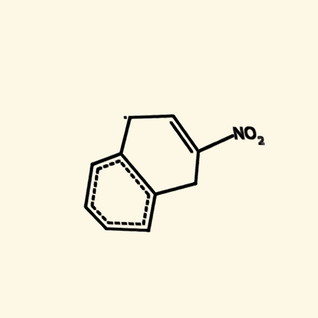 O=[N+]([O-])C1=C[CH]c2ccccc2C1